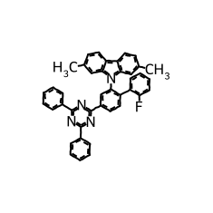 Cc1ccc2c3ccc(C)cc3n(-c3cc(-c4nc(-c5ccccc5)nc(-c5ccccc5)n4)ccc3-c3ccccc3F)c2c1